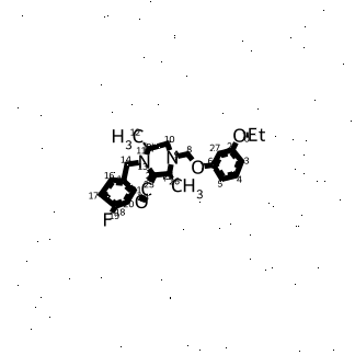 CCOc1cccc(OCN2C[C@@H](C)N(Cc3ccc(F)cc3)C(=C=O)[C@@H]2C)c1